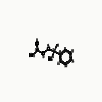 CCC(=O)OOC(C)(CC)c1ccccc1